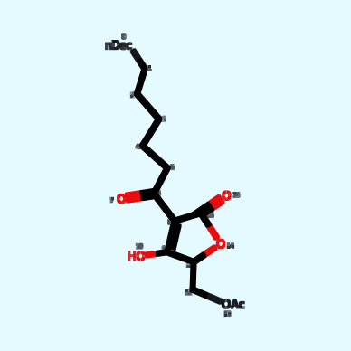 CCCCCCCCCCCCCCCC(=O)C1=C(O)C(COC(C)=O)OC1=O